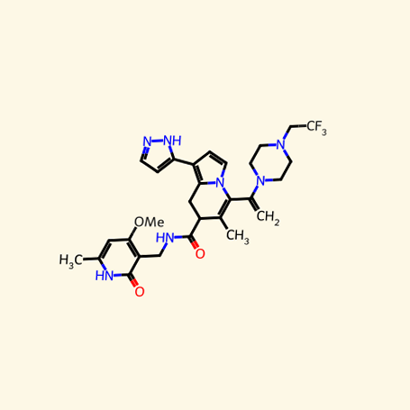 C=C(C1=C(C)C(C(=O)NCc2c(OC)cc(C)[nH]c2=O)Cc2c(-c3ccn[nH]3)ccn21)N1CCN(CC(F)(F)F)CC1